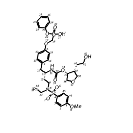 COc1ccc(S(=O)(=O)N(CC[C@H](Cc2ccc(OCP(=O)(O)Oc3ccccc3)cc2)NC(=O)O[C@H]2COC[C@H]2CCO)CC(C)C)cc1